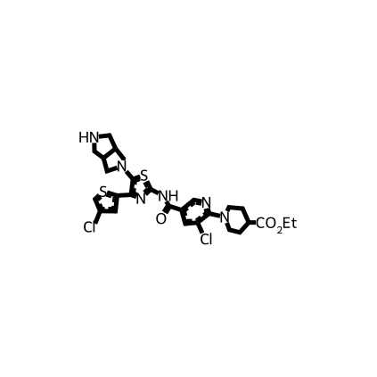 CCOC(=O)C1CCN(c2ncc(C(=O)Nc3nc(-c4cc(Cl)cs4)c(N4CC5CNCC5C4)s3)cc2Cl)CC1